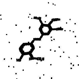 COc1cc(/N=N/c2ccc(O)c(NC(=O)O)c2)cc(OC)c1OC